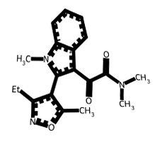 CCc1noc(C)c1-c1c(C(=O)C(=O)N(C)C)c2ccccc2n1C